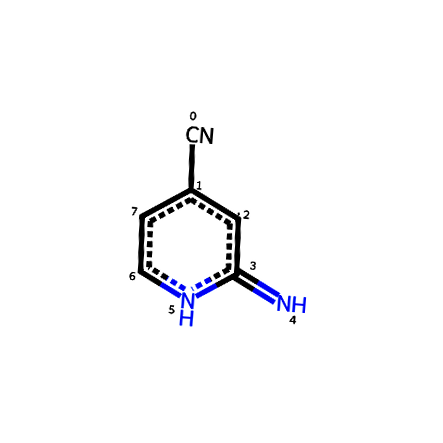 N#Cc1[c]c(=N)[nH]cc1